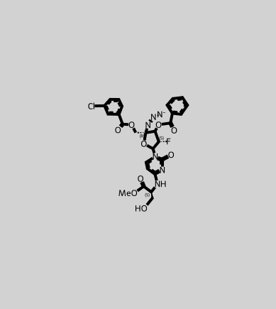 COC(=O)[C@H](CO)Nc1ccn(C2O[C@@](COC(=O)c3cccc(Cl)c3)(N=[N+]=[N-])C(OC(=O)c3ccccc3)[C@@H]2F)c(=O)n1